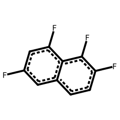 Fc1cc(F)c2c(F)c(F)ccc2c1